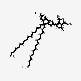 CCCCCCCCCCCCCCCCC1(CCCCCCCCCCCCCCCC)c2cc(C)sc2-c2sc(C3=C4C(=S)SC(C)=C4C(=S)S3)cc21